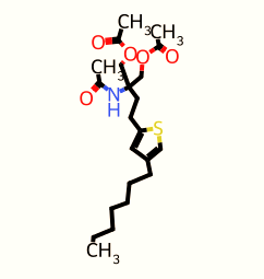 CCCCCCCc1csc(CCC(COC(C)=O)(COC(C)=O)NC(C)=O)c1